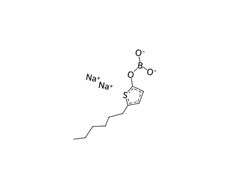 CCCCCCc1ccc(OB([O-])[O-])s1.[Na+].[Na+]